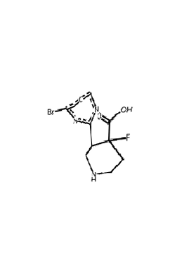 O=C(O)C1(F)CCNCC1c1nccc(Br)n1